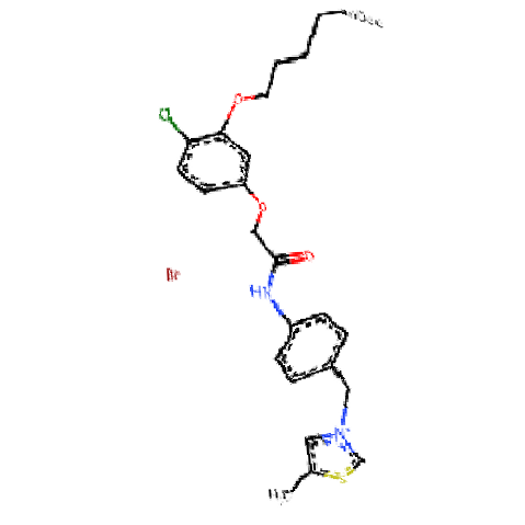 CCCCCCCCCCCCCCOc1cc(OCC(=O)Nc2ccc(C[n+]3csc(C)c3)cc2)ccc1Cl.[Br-]